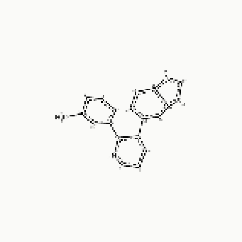 Cc1cccc(-c2ncccc2-c2ccc3ncsc3c2)c1